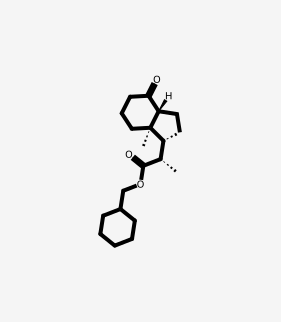 C[C@H](C(=O)OCC1CCCCC1)[C@H]1CC[C@H]2C(=O)CCC[C@]12C